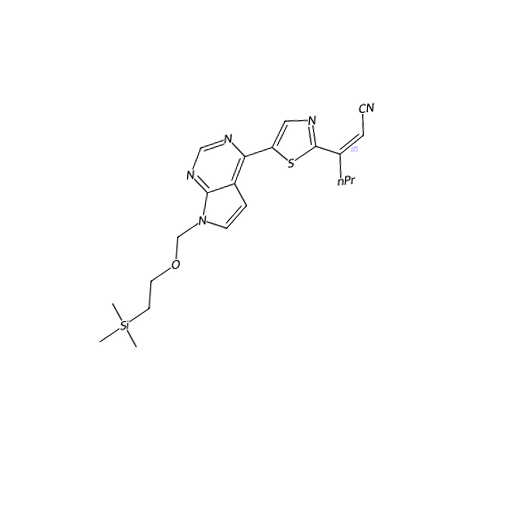 CCC/C(=C/C#N)c1ncc(-c2ncnc3c2ccn3COCC[Si](C)(C)C)s1